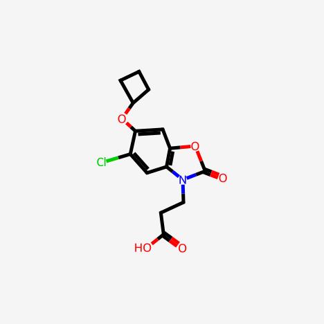 O=C(O)CCn1c(=O)oc2cc(OC3CCC3)c(Cl)cc21